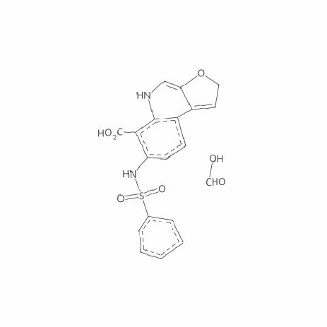 O=C(O)c1c(NS(=O)(=O)c2ccccc2)ccc2c1NC=C1OCC=C12.O=CO